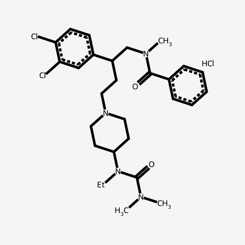 CCN(C(=O)N(C)C)C1CCN(CCC(CN(C)C(=O)c2ccccc2)c2ccc(Cl)c(Cl)c2)CC1.Cl